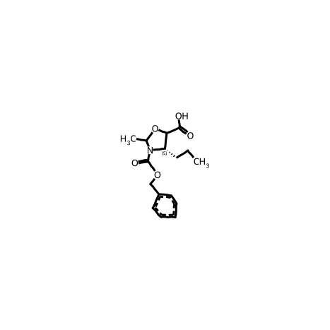 CCC[C@H]1C(C(=O)O)OC(C)N1C(=O)OCc1ccccc1